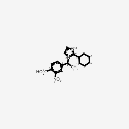 CC(c1ccc(C(=O)O)c([N+](=O)[O-])c1)n1ccnc1C1CCCCC1